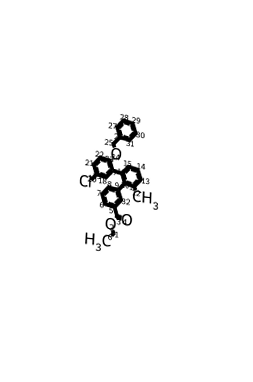 CCOC(=O)c1cccc(-c2c(C)cccc2-c2cc(Cl)ccc2OCc2ccccc2)c1